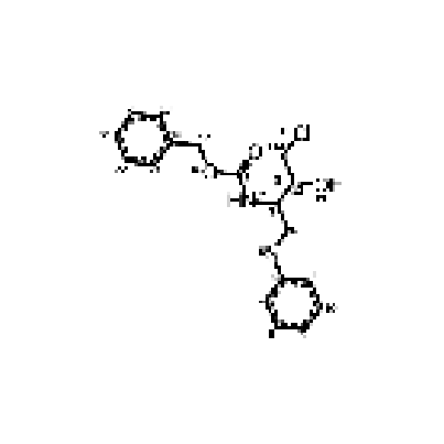 O=C(NC(CSc1ccccc1)[C@H](O)CCl)OCc1ccccc1